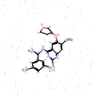 COc1cc2nc(Cl)nc(NC(C)c3cc([N+](=O)[O-])cc(C(F)(F)F)c3)c2cc1OC1CCOC1